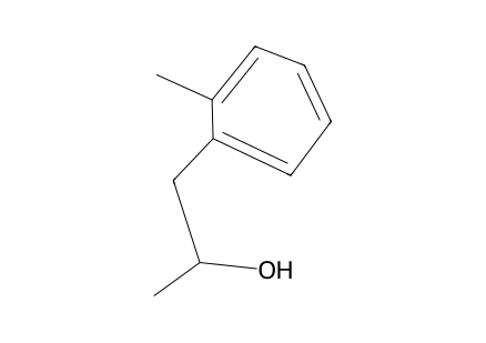 Cc1ccccc1CC(C)O